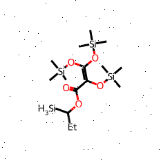 CCC([SiH3])OC(=O)C(O[Si](C)(C)C)=C(O[Si](C)(C)C)O[Si](C)(C)C